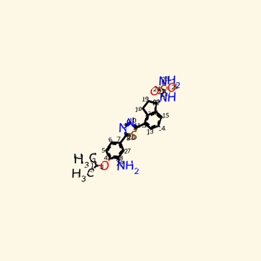 CC(C)Oc1ccc(-c2nnc(-c3cccc4c3CC[C@@H]4NS(N)(=O)=O)s2)cc1N